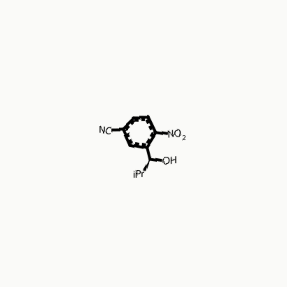 CC(C)[C@H](O)c1cc(C#N)ccc1[N+](=O)[O-]